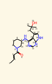 CC=CC(=O)N1CCC[C@@H](Nc2ncnc3[nH]cc(CC(C)(C)O)c23)C1